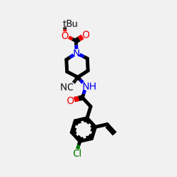 C=Cc1cc(Cl)ccc1CC(=O)NC1(C#N)CCN(C(=O)OC(C)(C)C)CC1